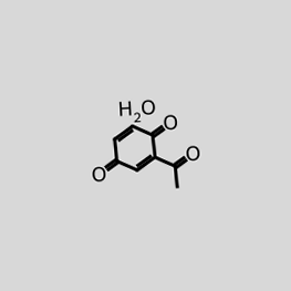 CC(=O)C1=CC(=O)C=CC1=O.O